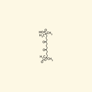 CC(C)(CCCC(=O)CCCC(=O)CCCC(C)(C)C(=O)O)OC=O